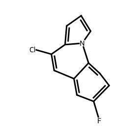 Fc1ccc2c(c1)cc(Cl)c1cccn12